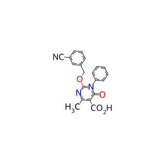 Cc1nc(OCc2cccc(C#N)c2)n(-c2ccccc2)c(=O)c1C(=O)O